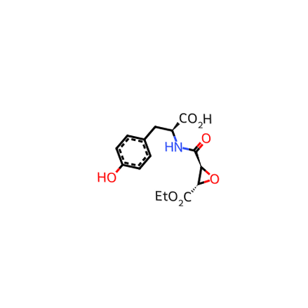 CCOC(=O)[C@H]1O[C@@H]1C(=O)N[C@@H](Cc1ccc(O)cc1)C(=O)O